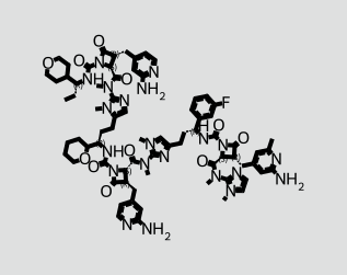 CC[C@@H](NC(=O)N1C(=O)[C@H](Cc2ccnc(N)c2)[C@H]1C(=O)N(C)c1ncc(CC[C@@H](NC(=O)N2C(=O)[C@H](Cc3ccnc(N)c3)[C@H]2C(=O)N(C)c2nc(CC[C@@H](NC(=O)N3C(=O)[C@H](Cc4cc(C)nc(N)c4)[C@H]3C(=O)N(C)c3nccn3C)c3cccc(F)c3)cn2C)C2CCCCO2)n1C)C1CCOCC1